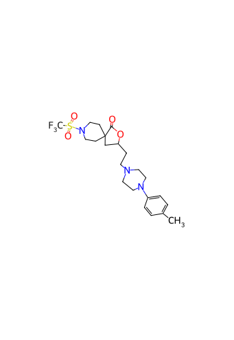 Cc1ccc(N2CCN(CCC3CC4(CCN(S(=O)(=O)C(F)(F)F)CC4)C(=O)O3)CC2)cc1